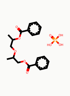 CC(COC(=O)c1ccccc1)OCC(C)OC(=O)c1ccccc1.O=P(O)(O)O